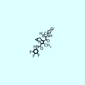 Cc1c(C(=O)C(=O)NC2(C)C[S+]([O-])C2)c2n(c1C(=O)Nc1cc(F)c(F)c(F)c1)C1CC1C2